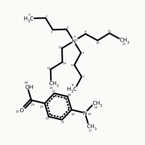 CCCC[N+](CCCC)(CCCC)CCCC.CN(C)c1ccc(C(=O)O)cc1